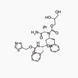 CC(C)[C@@H](C(N)=O)N(C(=O)OCC(O)CO)[C@@H](Cc1ccccc1)C[C@H](O)[C@H](Cc1ccccc1)NC(=O)OCc1cncs1